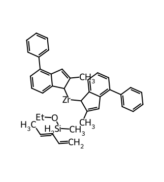 C=CC=CC.CC1=Cc2c(-c3ccccc3)cccc2[CH]1[Zr][CH]1C(C)=Cc2c(-c3ccccc3)cccc21.CCO[SiH2]C